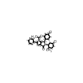 Cc1ccc(Cl)cc1N1C(=O)c2nc(-c3cnccn3)n(C(C)C)c2C1c1ccc(Cl)cc1